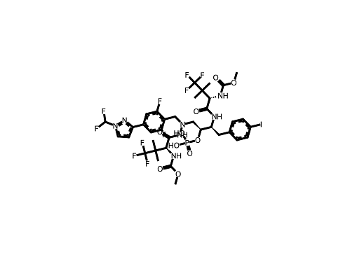 COC(=O)N[C@H](C(=O)N[C@@H](Cc1ccc(I)cc1)[C@H](CN(Cc1c(F)cc(-c2ccn(C(F)F)n2)cc1F)NC(=O)[C@@H](NC(=O)OC)C(C)(C)C(F)(F)F)OP(=O)(O)O)C(C)(C)C(F)(F)F